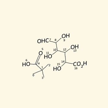 CC(C)(C)C(=O)O.O=CC(O)C(O)C(O)C(O)C(=O)O